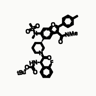 CNC(=O)c1c(-c2ccc(C)cc2)oc2cc(N(C)S(C)(=O)=O)c([C@H]3CCCN(C(=O)[C@@H](NC(=O)OC(C)(C)C)c4ccccc4F)C3)cc12